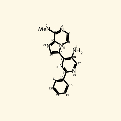 CNc1nccn2c(-c3nc(-c4ccccc4)ncc3N)cnc12